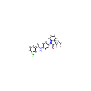 O=C(Nc1ccc(NC(=O)C2(c3ccccc3)CCCC2)cc1)c1cccc(Cl)c1